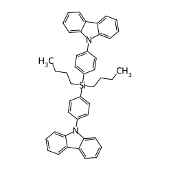 CCCC[Si](CCCC)(c1ccc(-n2c3ccccc3c3ccccc32)cc1)c1ccc(-n2c3ccccc3c3ccccc32)cc1